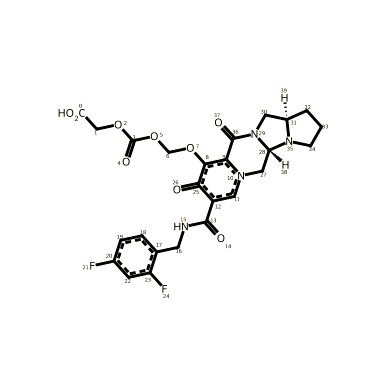 O=C(O)COC(=O)OCOc1c2n(cc(C(=O)NCc3ccc(F)cc3F)c1=O)C[C@@H]1N(C[C@H]3CCCN31)C2=O